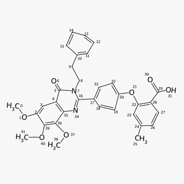 COc1cc2c(=O)n(CCc3ccccc3)c(-c3ccc(Oc4cc(C)ccc4C(=O)O)cc3)nc2c(OC)c1OC